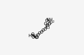 CCOc1cc2oc(-c3ccc(OCCOCCOCCOCCOc4cccc(C(=O)N(C)C5CCC(=O)NC5=O)c4C=O)cc3Cl)cc(=O)c2cc1-c1cc(C=O)cc(C(N)=O)c1